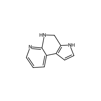 c1cnc2c(c1)-c1cc[nH]c1CN2